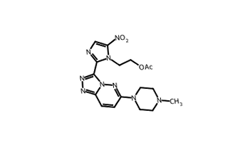 CC(=O)OCCn1c([N+](=O)[O-])cnc1-c1nnc2ccc(N3CCN(C)CC3)nn12